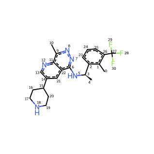 Cc1c([C@@H](C)Nc2nnc(C)c3ncc(C4CCNCC4)cc23)cccc1C(F)(F)F